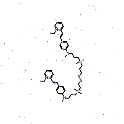 CC[n+]1ccccc1/C=C/c1ccc(N(C)CCC[N+](C)(C)CCCSSCC[N+](C)(C)CCCN(C)c2ccc(/C=C/c3cccc[n+]3CC)cc2)cc1